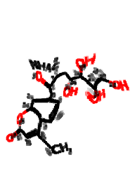 CC(=O)N[C@@H](C(=O)c1ccc2c(C)cc(=O)oc2c1)[C@@H](O)[C@@H](O)[C@H](O)CO